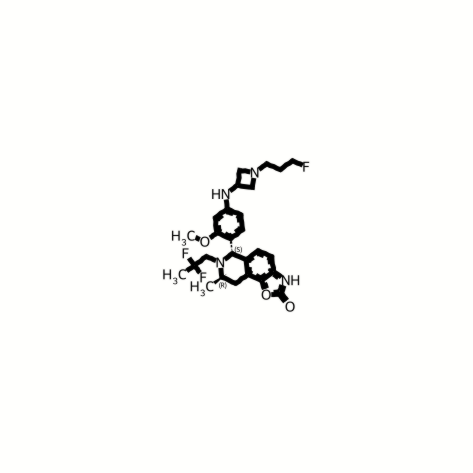 COc1cc(NC2CN(CCCF)C2)ccc1[C@@H]1c2ccc3[nH]c(=O)oc3c2C[C@@H](C)N1CC(C)(F)F